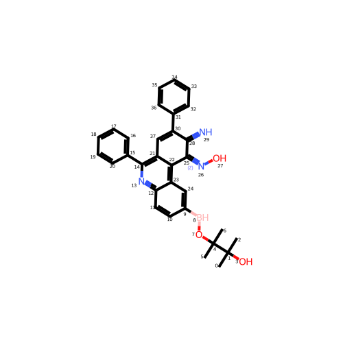 CC(C)(O)C(C)(C)OBc1ccc2nc(-c3ccccc3)c3c(c2c1)/C(=N/O)C(=N)C(c1ccccc1)=C3